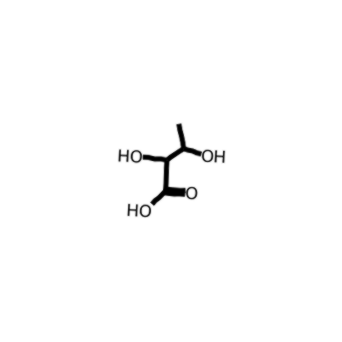 CC(O)C(O)C(=O)O